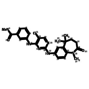 CNC(=O)c1cccc(Nc2nc(Nc3ccc4c(c3)C(C)(C)CCC(=O)N4C)ncc2Cl)c1